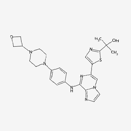 CC(C)(O)c1ncc(-c2cn3ccnc3c(Nc3ccc(N4CCN(C5COC5)CC4)cc3)n2)s1